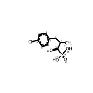 CC(Cc1ccc(Cl)cc1)C(=O)P(=O)(O)O